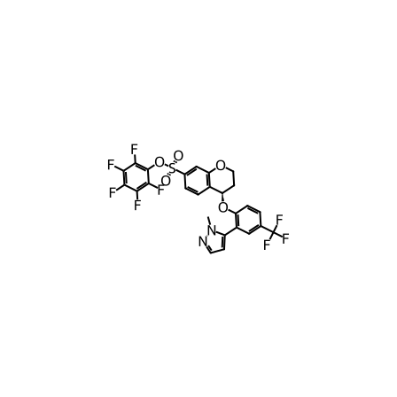 Cn1nccc1-c1cc(C(F)(F)F)ccc1O[C@@H]1CCOc2cc(S(=O)(=O)Oc3c(F)c(F)c(F)c(F)c3F)ccc21